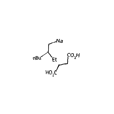 CCCCC(CC)[CH2][Na].O=C(O)CCC(=O)O